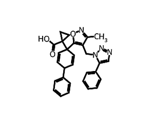 Cc1noc(C2(C3(C(=O)O)CC3)C=CC(c3ccccc3)C=C2)c1Cn1nncc1-c1ccccc1